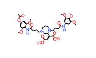 COc1cc(OC(C)=O)cc(OC)c1NC(=O)CCCN1CCCN(CCCC(=O)Nc2cc(OC)c(OC)c(OC)c2)C(/C(=C\C(=O)O)C(=O)O)C1